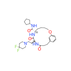 O=C1CCc2cccc(c2)OCCCC[C@@H](C(=O)NC2CCCC2)NC(=O)[C@H](CCN2CCC(F)(F)CC2)N1